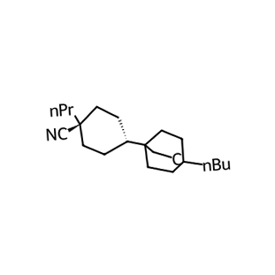 CCCCC12CCC([C@H]3CC[C@@](C#N)(CCC)CC3)(CC1)CC2